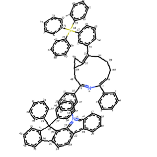 C1=C(c2ccccc2)\N=C(\c2cccc(-n3c4ccccc4c4ccc5c(c43)C(c3ccccc3)(c3ccccc3)c3ccccc3-5)c2)CC2C/C2=C(/c2cccc(S(c3ccccc3)(c3ccccc3)c3ccccc3)c2)CCC/1